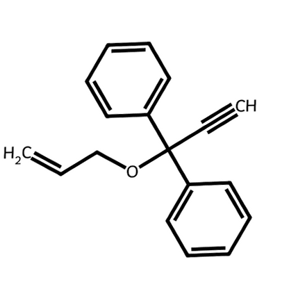 C#CC(OCC=C)(c1ccccc1)c1ccccc1